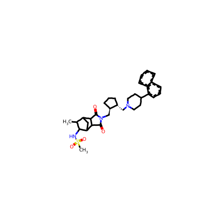 CC1C2CC(C1NS(C)(=O)=O)C1C(=O)N(C[C@H]3CCC[C@@H]3CN3CCC(c4cccc5ccccc45)CC3)C(=O)C21